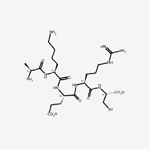 C[C@H](N)C(=O)N[C@@H](CCCCN)C(=O)N[C@@H](CCC(=O)O)C(=O)N[C@@H](CCCNC(=N)N)C(=O)N[C@@H](CS)C(=O)O